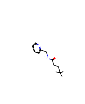 CC(C)(C)CCC(=O)NCc1ccccn1